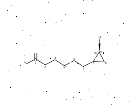 CNCCCCCC1C[C@@H]1I